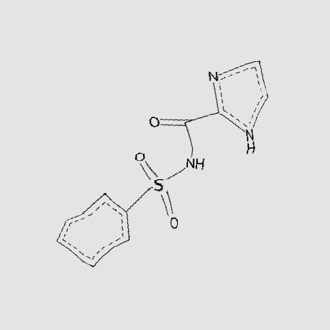 O=C(NS(=O)(=O)c1ccccc1)c1ncc[nH]1